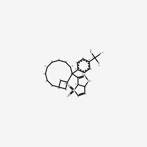 O=S1(=O)C=CC2ON=C(C3(c4ccc(C(F)(F)F)cc4)CCCCCCCCC4CC3C4)C21